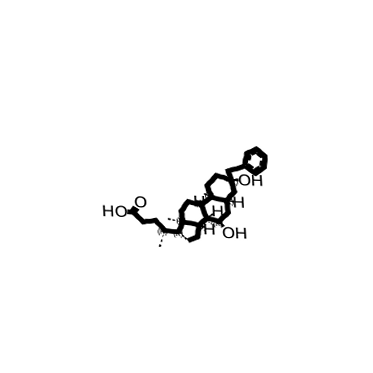 C[C@H](CCC(=O)O)[C@H]1CC[C@H]2[C@@H]3[C@H](O)C[C@@H]4C[C@@](O)(Cc5ccccc5)CC[C@]4(C)[C@H]3CC[C@]12C